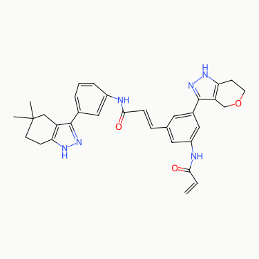 C=CC(=O)Nc1cc(/C=C/C(=O)Nc2cccc(-c3n[nH]c4c3CC(C)(C)CC4)c2)cc(-c2n[nH]c3c2COCC3)c1